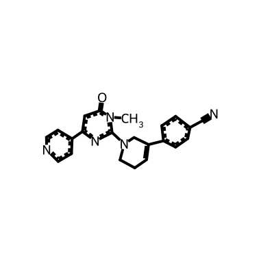 Cn1c(N2CCC=C(c3ccc(C#N)cc3)C2)nc(-c2ccncc2)cc1=O